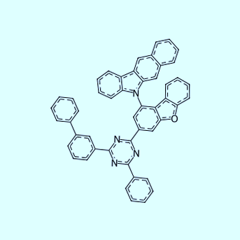 c1ccc(-c2cccc(-c3nc(-c4ccccc4)nc(-c4cc(-n5c6ccccc6c6cc7ccccc7cc65)c5c(c4)oc4ccccc45)n3)c2)cc1